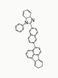 C1=CC2N=C(c3ccc4cc(-c5ccc6c7c(cccc57)C5=CCCC=C56)ccc4c3)N(c3ccccc3)C2C=C1